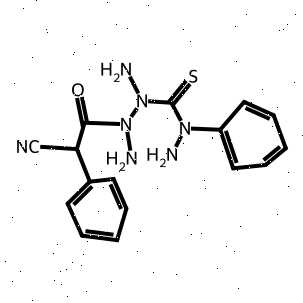 N#CC(C(=O)N(N)N(N)C(=S)N(N)c1ccccc1)c1ccccc1